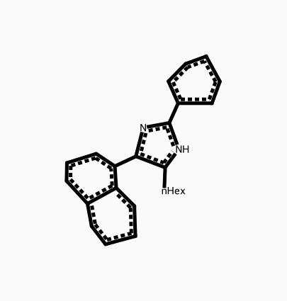 CCCCCCc1[nH]c(-c2ccccc2)nc1-c1cccc2ccccc12